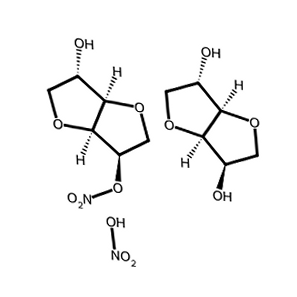 O=[N+]([O-])O.O=[N+]([O-])O[C@@H]1CO[C@H]2[C@@H]1OC[C@@H]2O.O[C@@H]1CO[C@H]2[C@@H]1OC[C@@H]2O